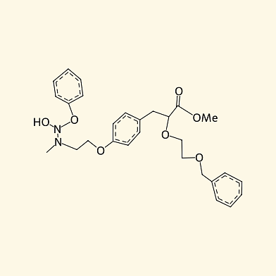 COC(=O)C(Cc1ccc(OCCN(C)N(O)Oc2ccccc2)cc1)OCCOCc1ccccc1